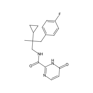 CC(CNC(=O)c1nccc(=O)[nH]1)(Cc1ccc(F)cc1)C1CC1